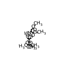 CCOC(=O)CC(Nc1ncc(B2OC(C)(C)C(C)(C)O2)cn1)C(=O)OCC